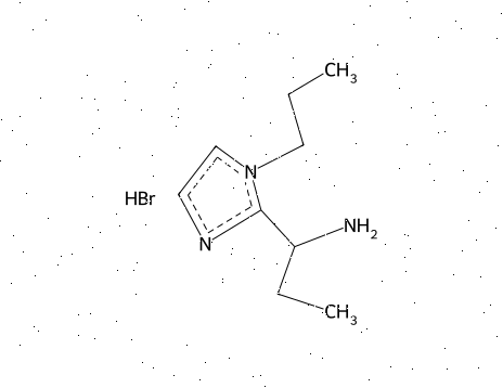 Br.CCCn1ccnc1C(N)CC